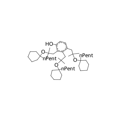 CCCCCC1(OC(C)(C)Cc2ccc(O)c(CC(C)(C)OC3(CCCCC)CCCCC3)c2CC(C)(C)OC2(CCCCC)CCCCC2)CCCCC1